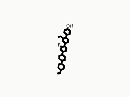 C=CC1CCC(C2CCC(c3ccc(-c4ccc(-c5ccc(O)cc5)c(CC)c4)c(F)c3)CC2)CC1